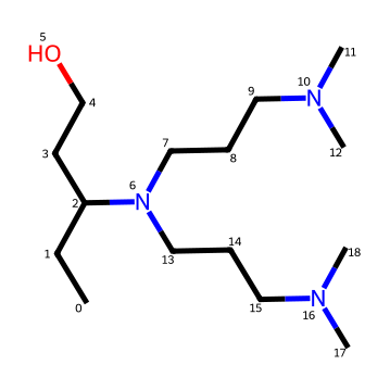 CCC(CCO)N(CCCN(C)C)CCCN(C)C